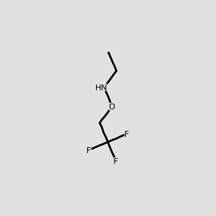 CCNOCC(F)(F)F